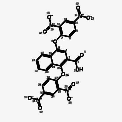 O=C(O)c1cc(Oc2ccc([N+](=O)[O-])cc2[N+](=O)[O-])c2ccccc2c1Oc1ccc([N+](=O)[O-])cc1[N+](=O)[O-]